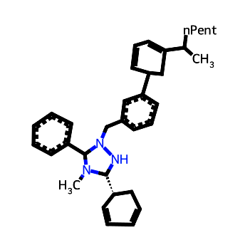 CCCCCC(C)C1=CC=CC(c2cccc(CN3NC([C@H]4C=CC=CC4)N(C)C3c3ccccc3)c2)C1